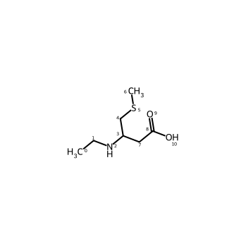 CCNC(CSC)CC(=O)O